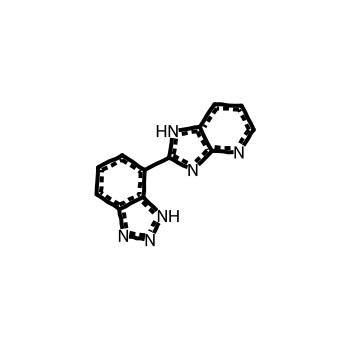 c1cc(-c2nc3ncccc3[nH]2)c2[nH]nnc2c1